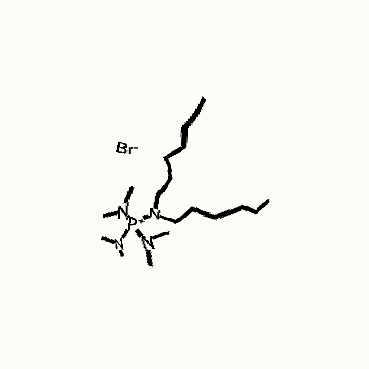 CCCCCCN(CCCCCC)[P+](N(C)C)(N(C)C)N(C)C.[Br-]